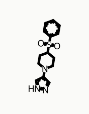 O=S(=O)(c1ccccc1)C1CCN(c2cn[nH]c2)CC1